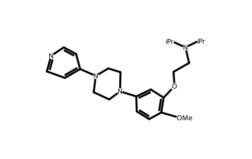 COc1ccc(N2CCN(c3ccncc3)CC2)cc1OCCN(C(C)C)C(C)C